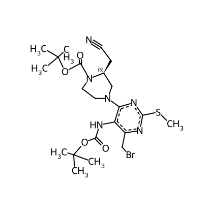 CSc1nc(CBr)c(NC(=O)OC(C)(C)C)c(N2CCN(C(=O)OC(C)(C)C)[C@@H](CC#N)C2)n1